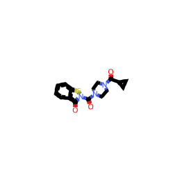 O=C(C1CC1)N1CCN(C(=O)n2sc3ccccc3c2=O)CC1